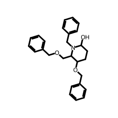 OC1CCC(OCc2ccccc2)C(COCc2ccccc2)N1Cc1ccccc1